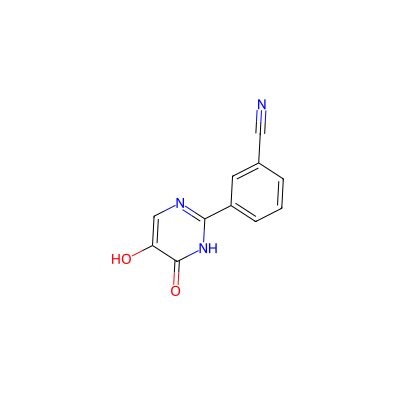 N#Cc1cccc(-c2ncc(O)c(=O)[nH]2)c1